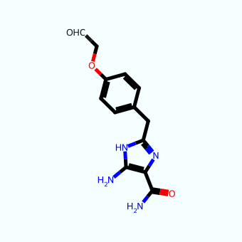 NC(=O)c1nc(Cc2ccc(OCC=O)cc2)[nH]c1N